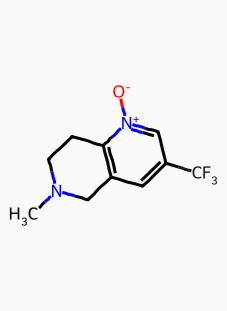 CN1CCc2c(cc(C(F)(F)F)c[n+]2[O-])C1